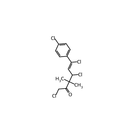 CC(C)(C(=O)CCl)C(Cl)C=C(Cl)c1ccc(Cl)cc1